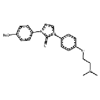 CC(C)COc1ccc(-n2ccn(-c3ccc(OCCN(C)C)cc3)c2=O)cc1